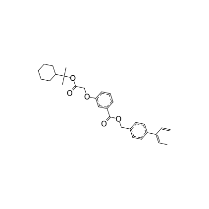 C=C/C(=C\C)c1ccc(COC(=O)c2cccc(OCC(=O)OC(C)(C)C3CCCCC3)c2)cc1